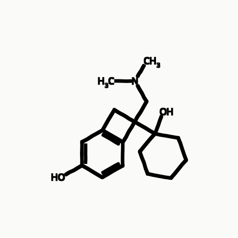 CN(C)CC1(C2(O)CCCCC2)Cc2cc(O)ccc21